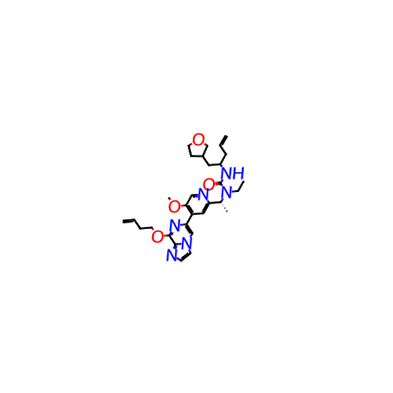 C=CCCOc1nc(-c2cc([C@@H](C)N(CC)C(=O)NC(CC=C)CC3CCOC3)ncc2OC)cn2ccnc12